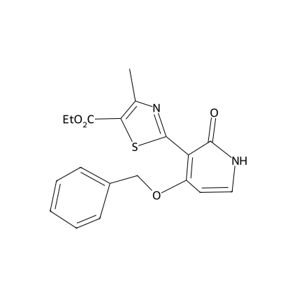 CCOC(=O)c1sc(-c2c(OCc3ccccc3)cc[nH]c2=O)nc1C